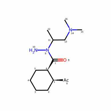 CC(=O)[C@H]1CCCC[C@H]1C(=O)N(N)C(C)CN(C)C